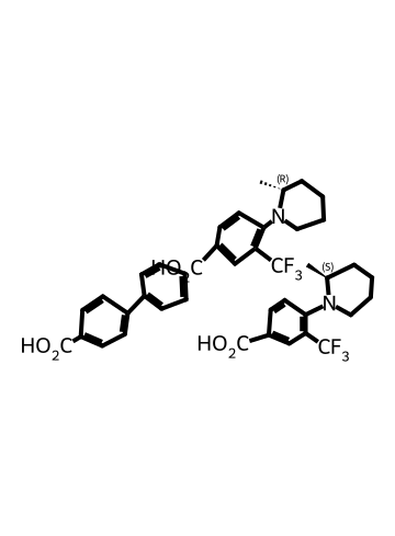 C[C@@H]1CCCCN1c1ccc(C(=O)O)cc1C(F)(F)F.C[C@H]1CCCCN1c1ccc(C(=O)O)cc1C(F)(F)F.O=C(O)c1ccc(-c2ccccc2)cc1